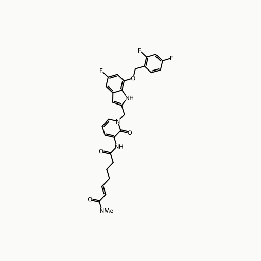 CNC(=O)/C=C/CCCC(=O)Nc1cccn(Cc2cc3cc(F)cc(OCc4ccc(F)cc4F)c3[nH]2)c1=O